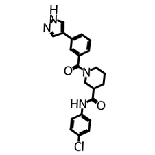 O=C(Nc1ccc(Cl)cc1)C1CCCN(C(=O)c2cccc(-c3cn[nH]c3)c2)C1